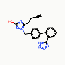 C#CCCc1nc(O)nn1Cc1ccc(-c2ccccc2-c2nnn[nH]2)cc1